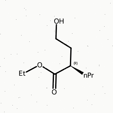 CCC[C@H](CCO)C(=O)OCC